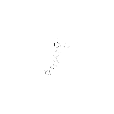 Fc1cc(OC2COC2)c(C2CCN([C@@H]3COC4(C3)CN(c3nnco3)C4)CC2)cc1F